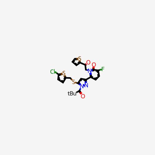 CC(C)(C)C(=O)n1nc(-c2ccc(F)c(=O)n2CC(=O)c2cccs2)cc1SCc1ccc(Cl)s1